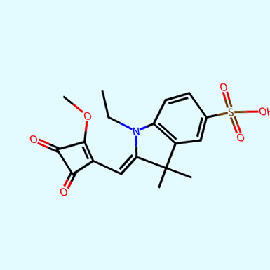 CCN1C(=Cc2c(OC)c(=O)c2=O)C(C)(C)c2cc(S(=O)(=O)O)ccc21